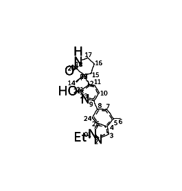 CCn1ncc2c(C)cc(-c3ccc([C@@]4(C)CCCNC4=O)c(O)n3)cc21